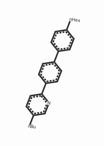 CCCCCCc1ccc(-c2ccc(-c3ccc(CCCC)cn3)cc2)cc1